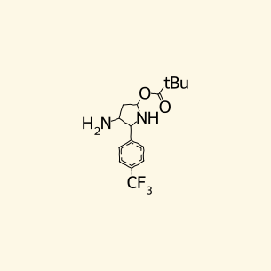 CC(C)(C)C(=O)OC1CC(N)C(c2ccc(C(F)(F)F)cc2)N1